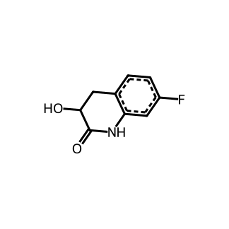 O=C1Nc2cc(F)ccc2CC1O